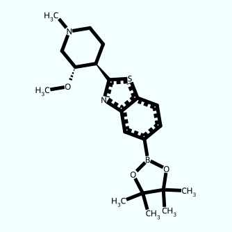 CO[C@@H]1CN(C)CC[C@H]1c1nc2cc(B3OC(C)(C)C(C)(C)O3)ccc2s1